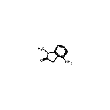 CN1C(=O)Cc2c(N)cccc21